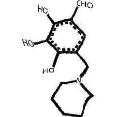 O=Cc1cc(CN2CCCCC2)c(O)c(O)c1O